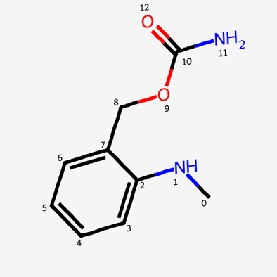 CNc1ccccc1COC(N)=O